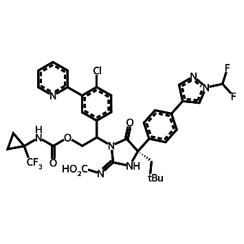 CC(C)(C)C[C@]1(c2ccc(-c3cnn(C(F)F)c3)cc2)NC(=NC(=O)O)N(C(COC(=O)NC2(C(F)(F)F)CC2)c2ccc(Cl)c(-c3ccccn3)c2)C1=O